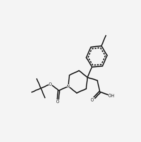 Cc1ccc(C2(CC(=O)O)CCN(C(=O)OC(C)(C)C)CC2)cc1